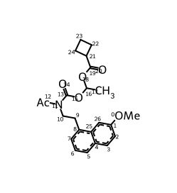 COc1ccc2cccc(CCN(C(C)=O)C(=O)OC(C)OC(=O)C3CCC3)c2c1